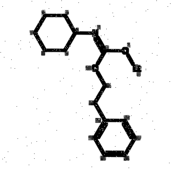 CCOC(=NC1CCCCC1)OCCc1ccccc1